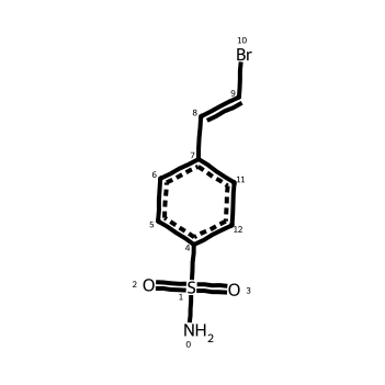 NS(=O)(=O)c1ccc(C=CBr)cc1